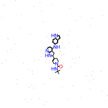 CC(C)(C)NC(=O)N1CC=C(C2Cc3c(Nc4ccc5[nH]ccc5c4)ccnc3N2)CC1